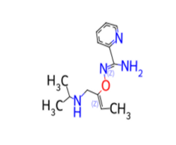 C/C=C(/CNC(C)C)O/N=C(\N)c1ccccn1